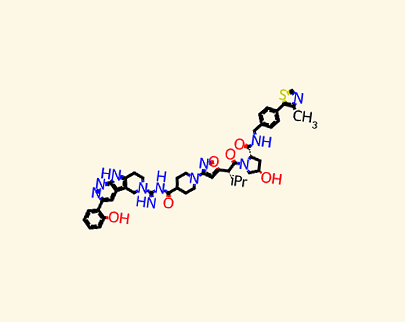 Cc1ncsc1-c1ccc(CNC(=O)[C@@H]2C[C@@H](O)CN2C(=O)[C@@H](c2cc(N3CCC(C(=O)NC(=N)N4CCc5[nH]c6nnc(-c7ccccc7O)cc6c5C4)CC3)no2)C(C)C)cc1